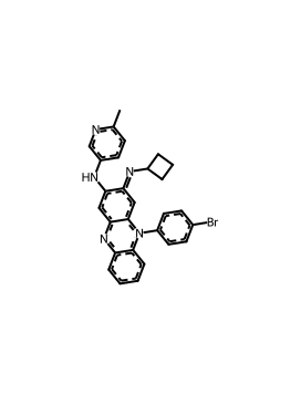 Cc1ccc(Nc2cc3nc4ccccc4n(-c4ccc(Br)cc4)c-3cc2=NC2CCC2)cn1